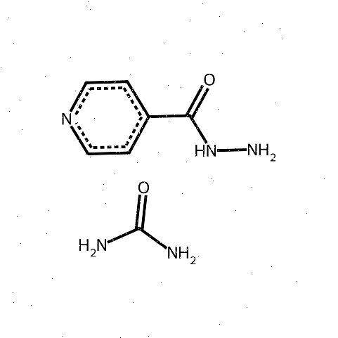 NC(N)=O.NNC(=O)c1ccncc1